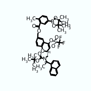 Cc1ccc(B2OC(C)(C)C(C)(C)O2)cc1C(=O)OCc1ccc2c(c1)C(OS(=O)(=O)C(F)(F)F)=C[C@H](CN(C(=O)OC(C)(C)C)[C@H](C)c1cccc3ccccc13)O2